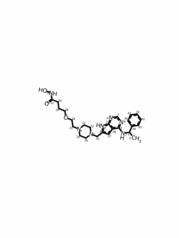 CC(Nc1ncnc2[nH]c(CN3CCN(CCOCCCC(=O)NO)CC3)cc12)c1ccccc1